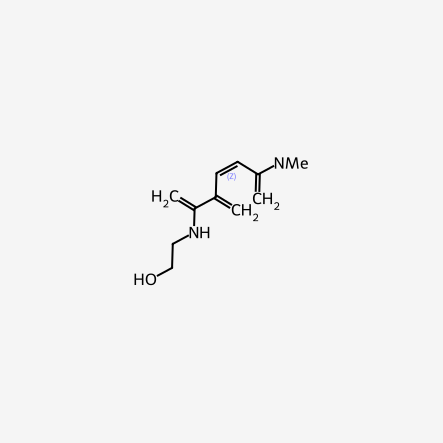 C=C(/C=C\C(=C)C(=C)NCCO)NC